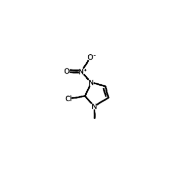 CN1C=CN([N+](=O)[O-])C1Cl